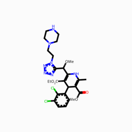 CCOC(=O)C1=C(C(OC)c2nnnn2CCN2CCNCC2)NC(C)=C(C(=O)OC)C1c1cccc(Cl)c1Cl